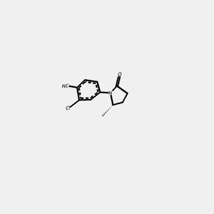 C[C@H]1CCC(=O)N1c1ccc(C#N)c(Cl)c1